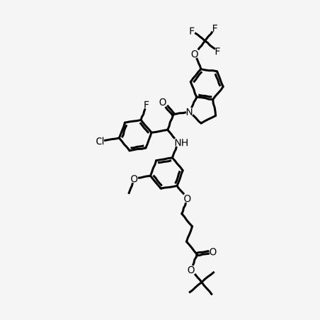 COc1cc(NC(C(=O)N2CCc3ccc(OC(F)(F)F)cc32)c2ccc(Cl)cc2F)cc(OCCCC(=O)OC(C)(C)C)c1